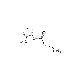 [CH2]c1ccccc1OC(=O)CCC